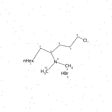 Br.CCCCCCCC(CCCCl)N(C)C